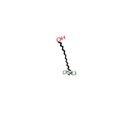 C[Si](Cl)(Cl)CCCCCCCCCCCCCCCCO